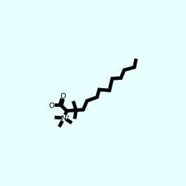 CCCCCCCCCCC(C)(C)C(C(=O)[O-])[N+](C)(C)C